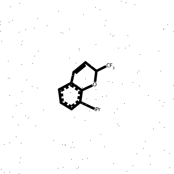 CC(C)c1cccc2c1OC(C(F)(F)F)C=C2